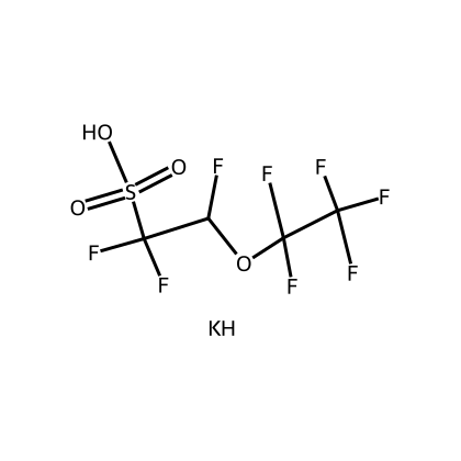 O=S(=O)(O)C(F)(F)C(F)OC(F)(F)C(F)(F)F.[KH]